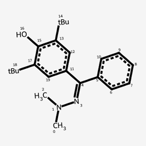 CN(C)N=C(c1ccccc1)c1cc(C(C)(C)C)c(O)c(C(C)(C)C)c1